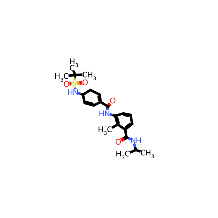 Cc1c(NC(=O)C2=CCC(NS(=O)(=O)C(C)(C)C)C=C2)cccc1C(=O)NC(C)C